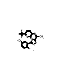 Cc1ccc(O)cc1-c1nnc2c(C)nc3ccc(C(F)(F)F)nc3n12